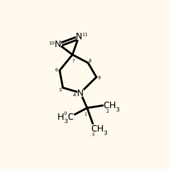 CC(C)(C)N1CCC2(CC1)N=N2